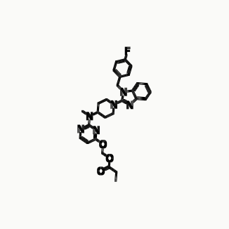 CCC(=O)OCOc1ccnc(N(C)C2CCN(c3nc4ccccc4n3Cc3ccc(F)cc3)CC2)n1